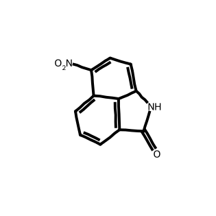 O=C1Nc2ccc([N+](=O)[O-])c3cccc1c23